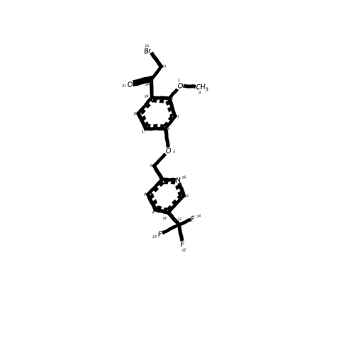 COc1cc(OCc2ccc(C(F)(F)F)cn2)ccc1C(=O)CBr